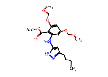 CCCCc1cc(Nc2cc(OCOC)cc(OCOC)c2C(=O)OC)[nH]n1